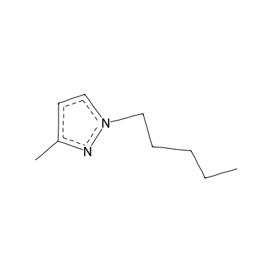 CCCCCn1ccc(C)n1